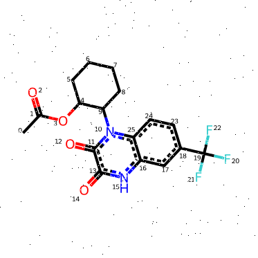 CC(=O)OC1CCCCC1n1c(=O)c(=O)[nH]c2cc(C(F)(F)F)ccc21